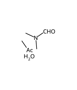 CC(C)=O.CN(C)C=O.O